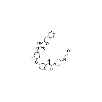 CN(CCO)C1CCN(C(=O)Nc2cc(Oc3ccc(NC(=S)NC(=O)Cc4ccccc4)cc3F)ccn2)CC1